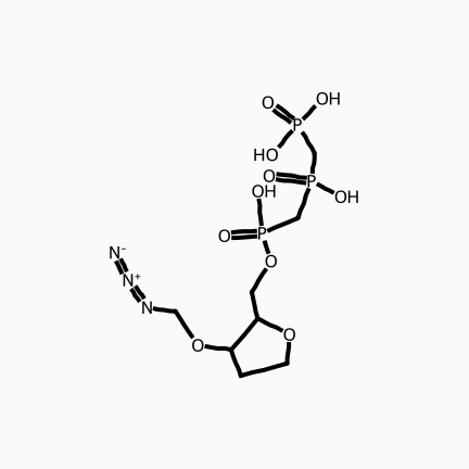 [N-]=[N+]=NCOC1CCOC1COP(=O)(O)CP(=O)(O)CP(=O)(O)O